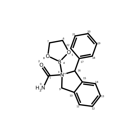 NC(=O)[N+]1(B2OCCO2)Cc2ccccc2C1c1ccccc1